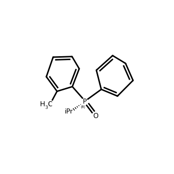 Cc1ccccc1[P@](=O)(c1ccccc1)C(C)C